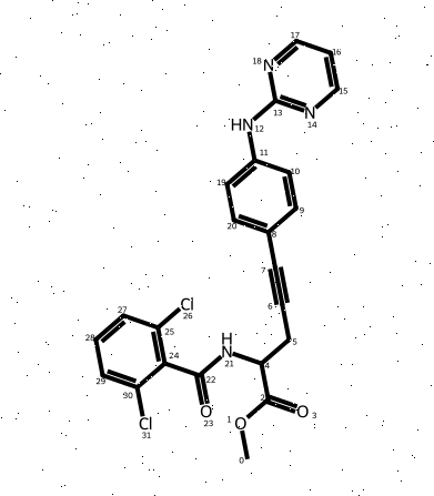 COC(=O)C(CC#Cc1ccc(Nc2ncccn2)cc1)NC(=O)c1c(Cl)cccc1Cl